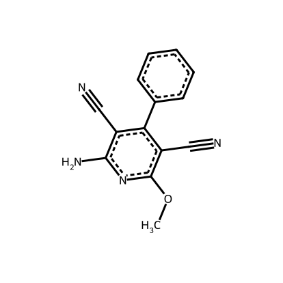 COc1nc(N)c(C#N)c(-c2ccccc2)c1C#N